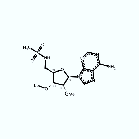 CCO[C@H]1[C@@H](OC)[C@H](n2cnc3c(N)ncnc32)O[C@@H]1CNS(C)(=O)=O